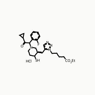 CCOC(=O)CCCCn1nncc1/C=C1\CN(C(C(=O)C2CC2)c2ccccc2F)CCC1S.Cl